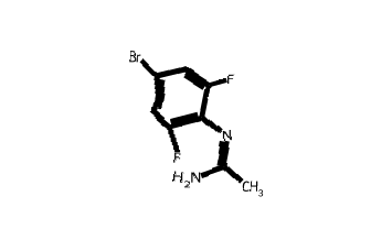 CC(N)=Nc1c(F)cc(Br)cc1F